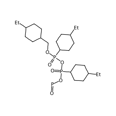 CCC1CCC(COP(=O)(OP(=O)(OP=O)C2CCC(CC)CC2)C2CCC(CC)CC2)CC1